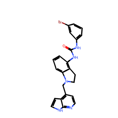 O=C(Nc1cccc(Br)c1)Nc1cccc2c1CCN2Cc1ccnc2[nH]ccc12